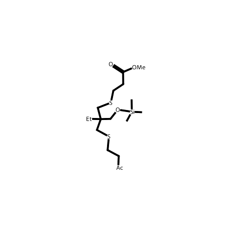 CCC(CO[Si](C)(C)C)(CSCCC(C)=O)CSCCC(=O)OC